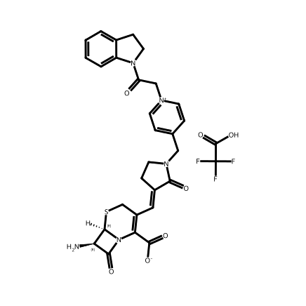 N[C@@H]1C(=O)N2C(C(=O)[O-])=C(C=C3CCN(Cc4cc[n+](CC(=O)N5CCc6ccccc65)cc4)C3=O)CS[C@H]12.O=C(O)C(F)(F)F